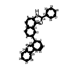 c1cc(-c2ccc3ccc4c(c3c2)OC(c2ccccc2)N4)c2sc3ccccc3c2c#1